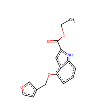 CCOC(=O)c1cc2c(OCc3ccoc3)cccc2[nH]1